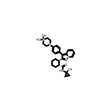 N#CC1(NC(=O)[C@@H]2CCCC[C@H]2c2nn3ccccc3c2-c2ccc(N3CCS(O)(O)CC3)cc2)CC1